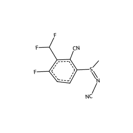 C/S(=N/C#N)c1ccc(F)c(C(F)F)c1C#N